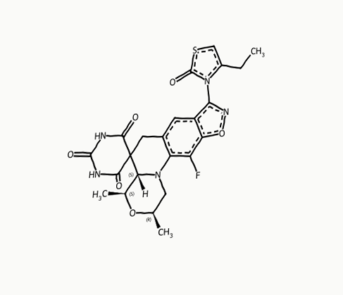 CCc1csc(=O)n1-c1noc2c(F)c3c(cc12)CC1(C(=O)NC(=O)NC1=O)[C@H]1[C@H](C)O[C@H](C)CN31